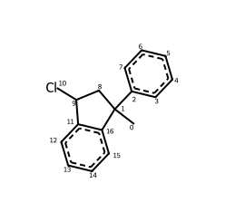 CC1(c2ccccc2)CC(Cl)c2ccccc21